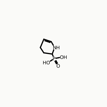 O=P(O)(O)C1CCC=CN1